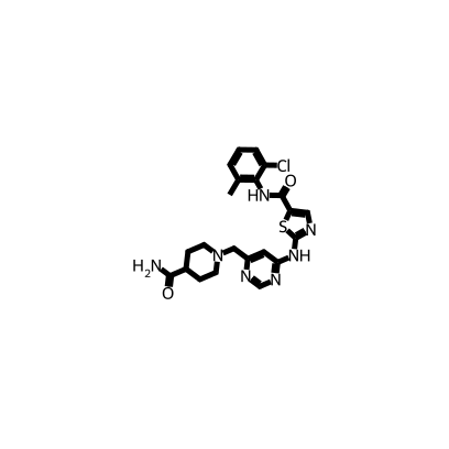 Cc1cccc(Cl)c1NC(=O)c1cnc(Nc2cc(CN3CCC(C(N)=O)CC3)ncn2)s1